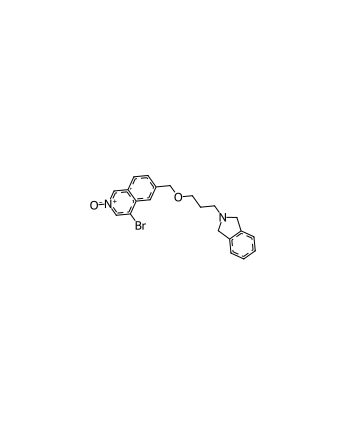 [O-][n+]1cc(Br)c2cc(COCCCN3Cc4ccccc4C3)ccc2c1